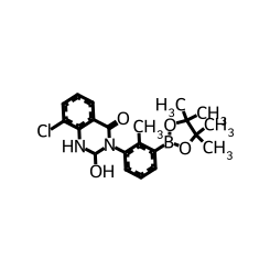 Cc1c(B2OC(C)(C)C(C)(C)O2)cccc1N1C(=O)c2cccc(Cl)c2NC1O